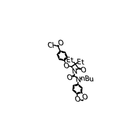 CCCCN(C(=O)N1C(=O)C(CC)(CC)C1Oc1ccc(C(=O)Cl)cc1)c1ccc2c(c1)OCO2